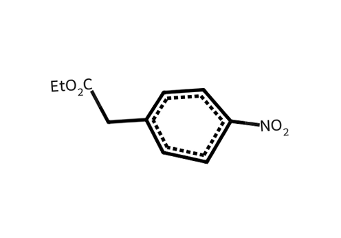 C[CH]OC(=O)Cc1ccc([N+](=O)[O-])cc1